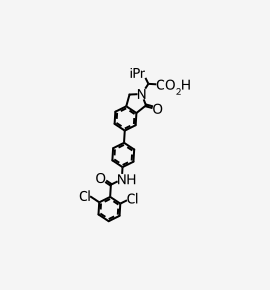 CC(C)C(C(=O)O)N1Cc2ccc(-c3ccc(NC(=O)c4c(Cl)cccc4Cl)cc3)cc2C1=O